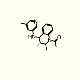 CC(=O)N1c2ccccc2C(Nc2cncc(C)c2)[C@@H](C)[C@@H]1C